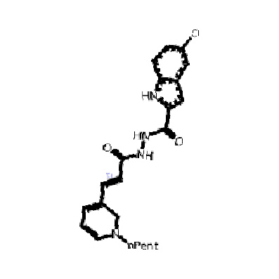 CCCCCN1C=CC=C(/C=C/C(=O)NNC(=O)c2cc3cc(Cl)ccc3[nH]2)C1